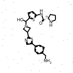 NCc1ccc(-c2cnc(C3CN(C(O)c4ccc(NC(=O)[C@@H]5CCCN5)s4)C3)s2)cc1